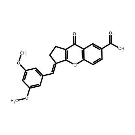 COc1cc(C=C2CCc3c2oc2ccc(C(=O)O)cc2c3=O)cc(OC)c1